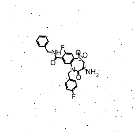 N[C@H]1CS(=O)(=O)c2cc(F)c(C(=O)NCc3ccccc3)cc2N(Cc2ccc(F)cc2)C1=O